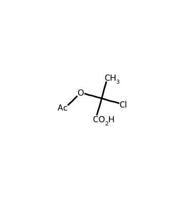 CC(=O)OC(C)(Cl)C(=O)O